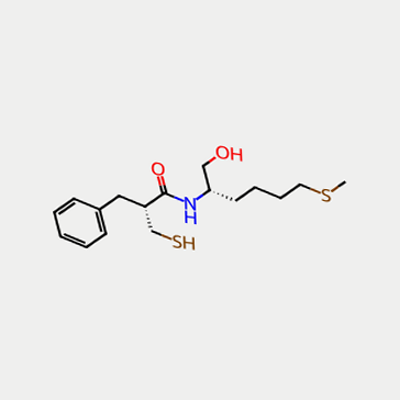 CSCCCC[C@@H](CO)NC(=O)[C@H](CS)Cc1ccccc1